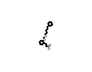 O=[N+]([O-])C=Cc1ccccc1OCOCCCCCc1ccccc1